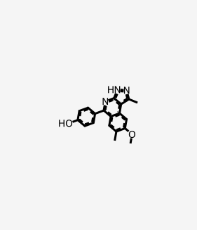 COc1cc2c(cc1C)c(-c1ccc(O)cc1)nc1[nH]nc(C)c12